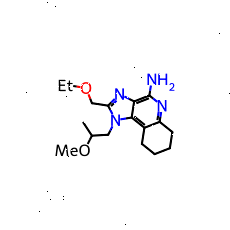 CCOCc1nc2c(N)nc3c(c2n1CC(C)OC)CCCC3